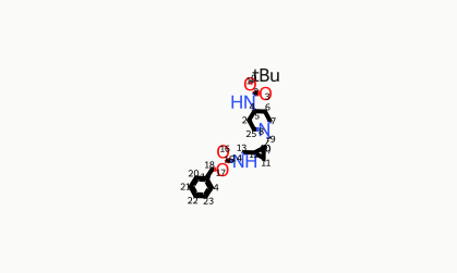 CC(C)(C)OC(=O)NC1CCN(C[C@@H]2CC2CNC(=O)OCc2ccccc2)CC1